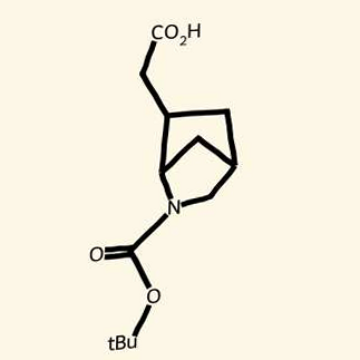 CC(C)(C)OC(=O)N1CC2CC(CC(=O)O)C1C2